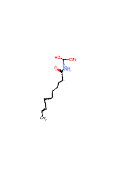 CCCCCCCC[CH]C(=O)NC(O)O